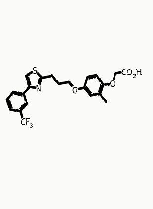 Cc1cc(OCCCc2nc(-c3cccc(C(F)(F)F)c3)cs2)ccc1OCC(=O)O